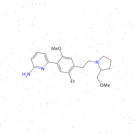 CCc1cc(-c2cccc(N)n2)c(OC)cc1CCN1CCCC1COC